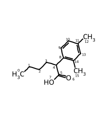 CCCCC(C(=O)O)c1ccc(C)cc1C